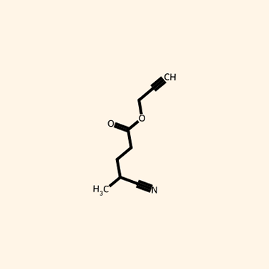 C#CCOC(=O)CCC(C)C#N